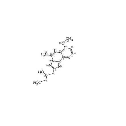 CCC(O)Cc1nc2c3cccc(OC)c3nc(N)n2n1